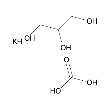 O=C(O)O.OCC(O)CO.[KH]